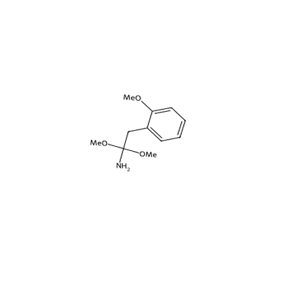 COc1ccccc1CC(N)(OC)OC